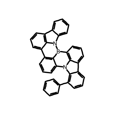 c1ccc(-c2cccc3c4cccc5c4n(c23)-c2cccc3c2B5n2c4ccccc4c4cccc-3c42)cc1